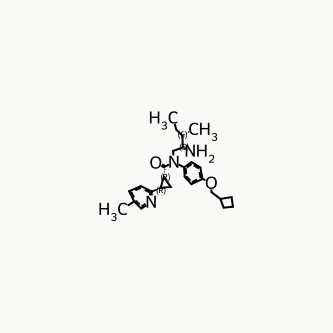 CC[C@H](C)[C@H](N)CN(C(=O)[C@@H]1C[C@H]1c1ccc(C)cn1)c1ccc(OCC2CCC2)cc1